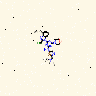 COc1cccc2c1nc(C(F)F)n2-c1nc(Nc2cnc(CN(C)C)s2)nc(N2CCOCC2)n1